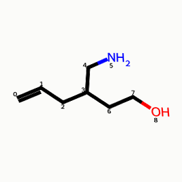 C=CCC(CN)CCO